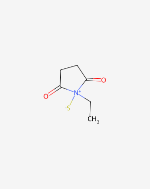 CC[N+]1([S])C(=O)CCC1=O